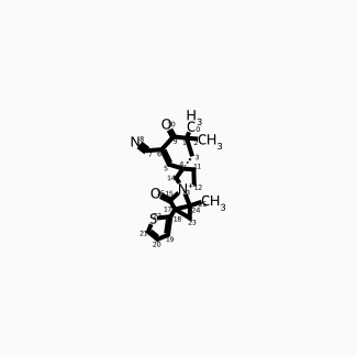 CC1(C)C[C@]2(C=C(C#N)C1=O)CC[N+]1(C2)C(=O)C2(c3cccs3)CC21C